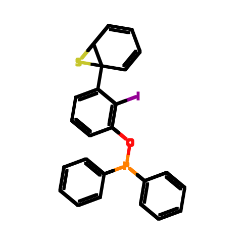 Ic1c(OP(c2ccccc2)c2ccccc2)cccc1C12C=CC=CC1S2